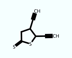 C#CC1CC(=S)SC1C#C